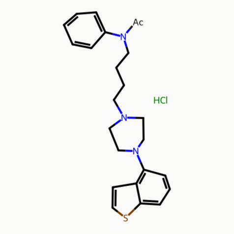 CC(=O)N(CCCCN1CCN(c2cccc3sccc23)CC1)c1ccccc1.Cl